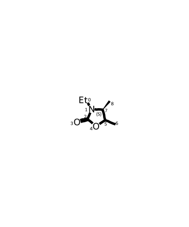 CCN1C(=O)OC(C)[C@@H]1C